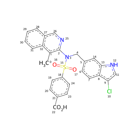 Cc1c(N(Cc2ccc3c(Cl)c[nH]c3c2)S(=O)(=O)c2ccc(C(=O)O)cc2)ncc2ccccc12